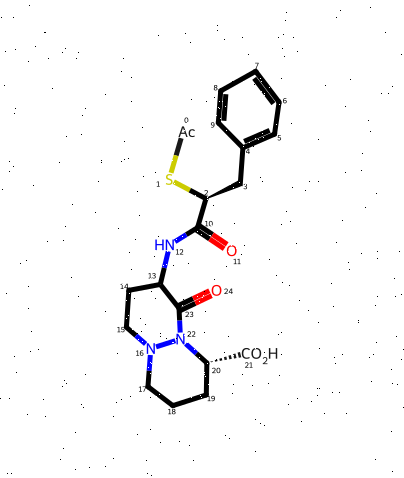 CC(=O)S[C@@H](Cc1ccccc1)C(=O)NC1CCN2CCC[C@@H](C(=O)O)N2C1=O